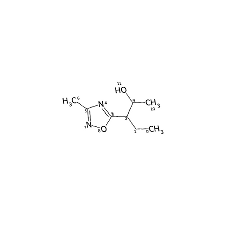 CCC(c1nc(C)no1)C(C)O